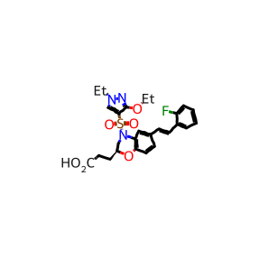 CCOc1nn(CC)cc1S(=O)(=O)N1C[C@H](CCC(=O)O)Oc2ccc(/C=C/c3ccccc3F)cc21